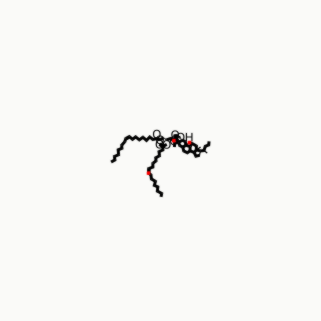 CCCCCCCC/C=C\CCCCCCCC(=O)OC[C@H](COP(=O)(O)C1(CC)CC[C@@]2(C)C(CCC3C2CC[C@@]2(C)C3CC[C@@H]2[C@H](C)CCC)C1)OC(=O)CCCCCCC/C=C\CCCCCCCC